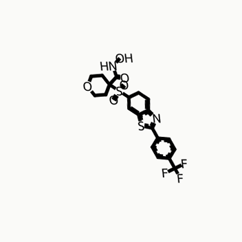 O=C(NO)C1(S(=O)(=O)C2C=c3sc(-c4ccc(C(F)(F)F)cc4)nc3=CC2)CCOCC1